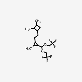 CC1CC(CCC2C(C(OCC(F)(F)F)OCC(F)(F)F)[C@@H]2C)C1C